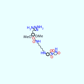 COc1cc(Cc2cnc(N)nc2N)cc(OC)c1OCC(=O)NCCCCCCCCNc1ccc2c(c1)C(=O)N(C1CCC(=O)NC1=O)C2=O